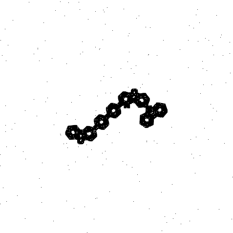 c1ccc2c(c1)oc1ccc(-c3ccc(-c4ccc(-c5ccc6oc7ccc(-n8c9ccccc9c9ccccc98)cc7c6n5)cc4)cc3)cc12